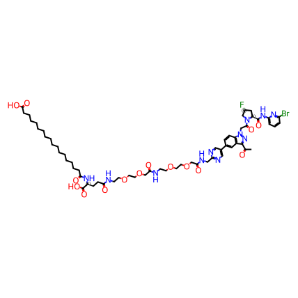 CC(=O)c1nn(CC(=O)N2C[C@H](F)C[C@H]2C(=O)Nc2cccc(Br)n2)c2ccc(-c3cnc(CNC(=O)COCCOCCNC(=O)COCCOCCNC(=O)CC[C@H](NC(=O)CCCCCCCCCCCCCCCCC(=O)O)C(=O)O)nc3)cc12